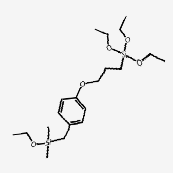 CCO[Si](C)(C)Cc1ccc(OCCC[Si](OCC)(OCC)OCC)cc1